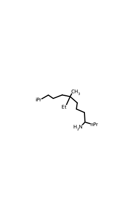 CCCC(N)CCCC(C)(CC)CCCC(C)C